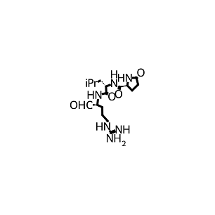 CC(C)C[C@H](NC(=O)[C@@H]1CCC(=O)N1)C(=O)N[C@H](C=O)CCCNC(=N)N